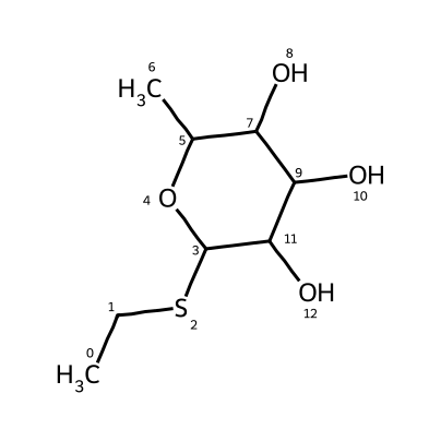 CCSC1OC(C)C(O)C(O)C1O